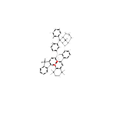 CC1(C)CCC(C)(C)c2cc(-c3ccccc3N(c3ccc4c(c3)C(C)(C)c3ccccc3-4)c3ccc4c(c3)C3(c5ccccc5S4)C4CC5CC6CC3C64C5)ccc21